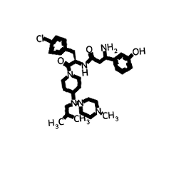 CC(C)CN(C1CCN(C(=O)[C@@H](Cc2ccc(Cl)cc2)NC(=O)CC(N)c2cccc(O)c2)CC1)N1CCN(C)CC1